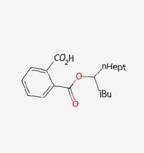 CCCCCCCC(OC(=O)c1ccccc1C(=O)O)C(C)CC